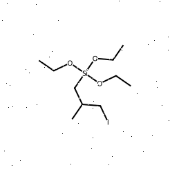 CCO[Si](CC(C)CI)(OCC)OCC